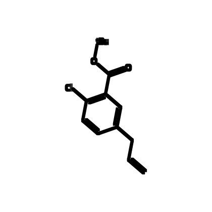 C=CCc1ccc(Cl)c(C(=O)OC(C)(C)C)c1